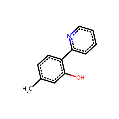 Cc1ccc(-c2ccccn2)c(O)c1